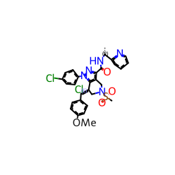 COc1ccc(/C=C2\CN(S(C)(=O)=O)Cc3c(C(=O)N[C@H](C)c4ccccn4)nn(-c4ccc(Cl)cc4Cl)c32)cc1